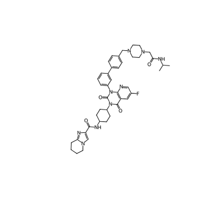 CC(C)NC(=O)CN1CCN(Cc2ccc(-c3cccc(-n4c(=O)n(C5CCC(NC(=O)c6cn7c(n6)CCCC7)CC5)c(=O)c5cc(F)cnc54)c3)cc2)CC1